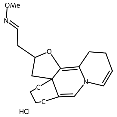 CON=CCC1CC23CCCCC2=CN2C=CCCC2=C3O1.Cl